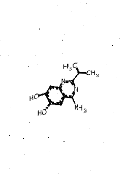 CC(C)c1nc(N)c2cc(O)c(O)cc2n1